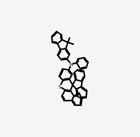 CC1(C)c2ccccc2-c2ccc(N(c3ccccc3)c3ccc4c(c3)C3(c5ccccc5-c5ccccc53)c3c(ccc5ccccc35)S4)cc21